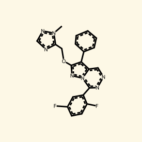 Cn1ncnc1COc1nn2c(-c3cc(F)ccc3F)nncc2c1-c1ccccc1